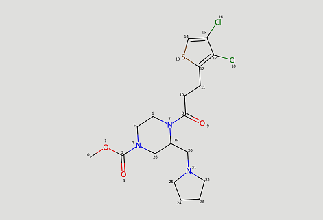 COC(=O)N1CCN(C(=O)CCc2scc(Cl)c2Cl)C(CN2CCCC2)C1